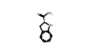 NC(=O)[C@@H]1Cc2ccccc2N1